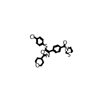 O=C(c1ccc(-c2nc(C3CCOCC3)oc2Sc2ccc(Cl)cc2)cc1)N1CCSC1